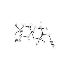 C#CCN1C(C)(C)CC2(CC1(C)C)OCC(C)(C)C(C(C)C)O2